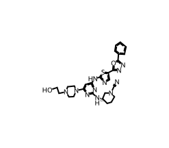 N#CN1CCC[C@H](Nc2nc(Nc3ncc(-c4nnc(-c5ccccc5)o4)s3)cc(N3CCN(CCO)CC3)n2)C1